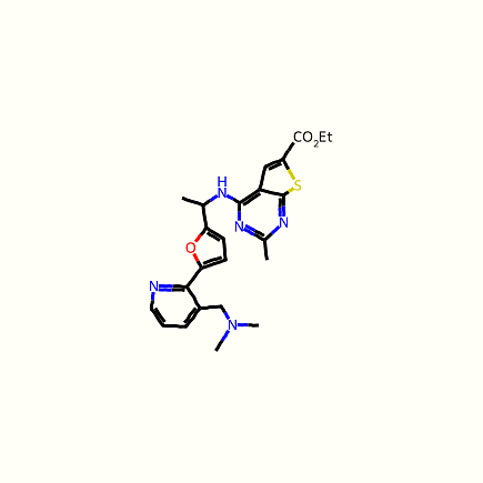 CCOC(=O)c1cc2c(NC(C)c3ccc(-c4ncccc4CN(C)C)o3)nc(C)nc2s1